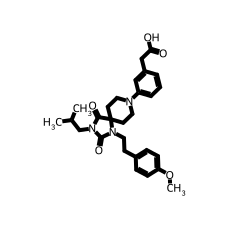 COc1ccc(CCN2C(=O)N(CC(C)C)C(=O)C23CCN(c2cccc(CC(=O)O)c2)CC3)cc1